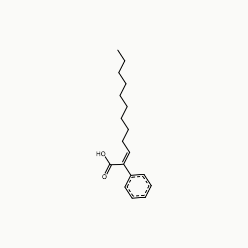 CCCCCCCCC/C=C(\C(=O)O)c1ccccc1